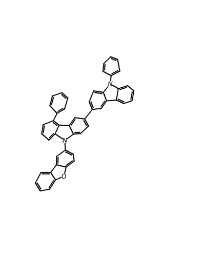 c1ccc(-c2cccc3c2c2cc(-c4ccc5c(c4)c4ccccc4n5-c4ccccc4)ccc2n3-c2ccc3oc4ccccc4c3c2)cc1